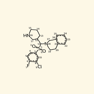 O=S(=O)(c1ccc(F)c(Cl)c1)C(C1CCCNC1)N1CCc2ccccc2C1